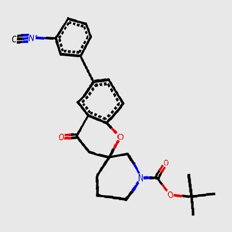 [C-]#[N+]c1cccc(-c2ccc3c(c2)C(=O)CC2(CCCN(C(=O)OC(C)(C)C)C2)O3)c1